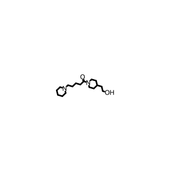 O=C(CCCCN1CCCCC1)N1CCC(CCO)CC1